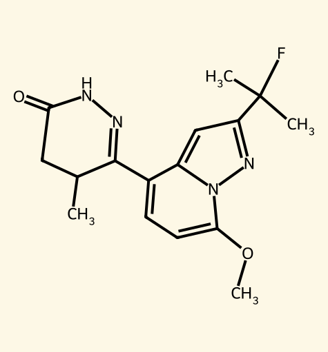 COc1ccc(C2=NNC(=O)CC2C)c2cc(C(C)(C)F)nn12